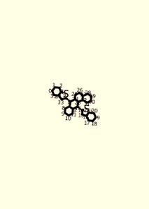 c1ccc2sc(-c3c4ccccc4c(-c4cc5ccccc5s4)c4c3ccc3ccccc34)cc2c1